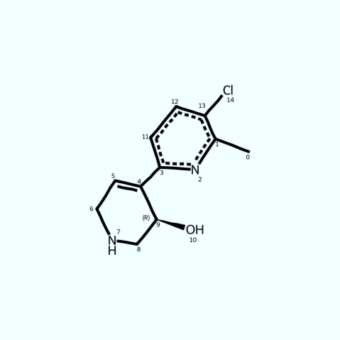 Cc1nc(C2=CCNC[C@@H]2O)ccc1Cl